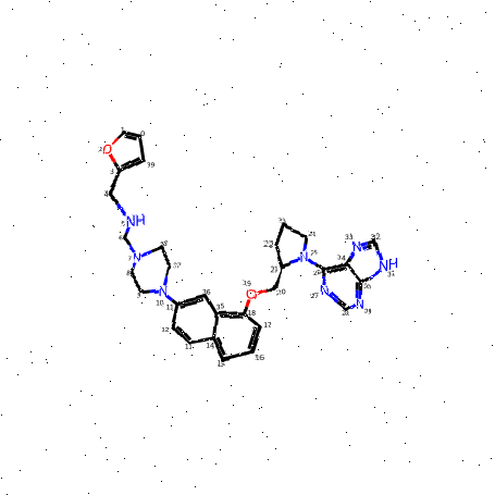 c1coc(CNCN2CCN(c3ccc4cccc(OC[C@H]5CCCN5c5ncnc6[nH]cnc56)c4c3)CC2)c1